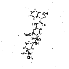 COc1cc(NC(=O)C(CO)c2ccccc2)ccc1S(=O)(=O)Nc1cccc(C(C)(F)F)c1